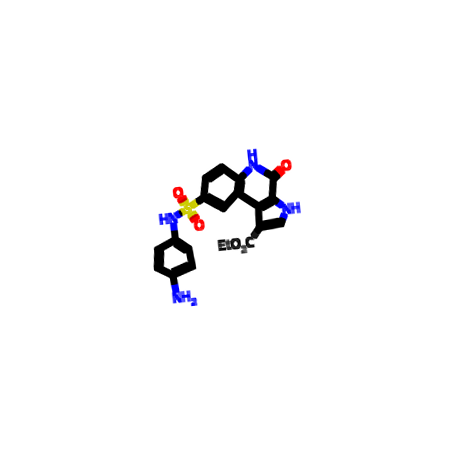 CCOC(=O)c1c[nH]c2c(=O)[nH]c3ccc(S(=O)(=O)Nc4ccc(N)cc4)cc3c12